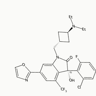 CCN(CC)[C@H]1C[C@H](CN2C(=O)[C@@](O)(c3c(F)cccc3Cl)c3c2cc(-c2ncco2)cc3C(F)(F)F)C1